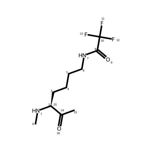 CN[C@@H](CCCCNC(=O)C(F)(F)F)C(C)=O